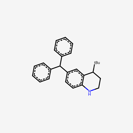 CC(C)(C)C1CCNc2ccc(C(c3ccccc3)c3ccccc3)cc21